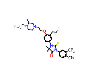 CC1CN(CCOc2ccc(N3C(=S)N(c4ccc(C#N)c(C(F)(F)F)c4)C(=O)C3(C)C)cc2CCF)CCN1C(=O)O